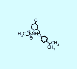 CCS(=O)(=O)N[C@@H]1CCC(=O)C[C@H]1COc1ccc(C(C)C)cc1